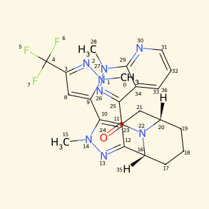 Cn1nc(C(F)(F)F)cc1-c1c2c(nn1C)[C@H]1CCC[C@@H](C2)N1C(=O)c1nn(C)c2ncccc12